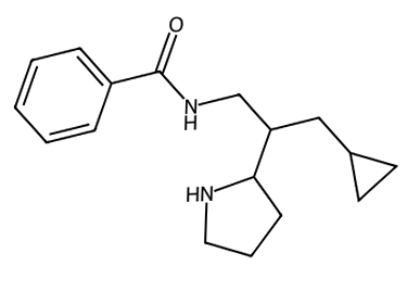 O=C(NCC(CC1CC1)C1CCCN1)c1ccccc1